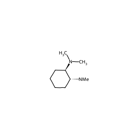 CN[C@@H]1CCCC[C@H]1N(C)C